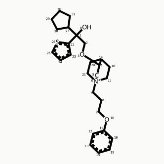 OC(COC1C[N+]2(CCCOc3ccccc3)CCC1CC2)(c1cccs1)C1CCCC1